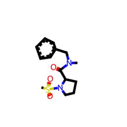 CN(Cc1ccccc1)C(=O)C1CCCN1S(C)(=O)=O